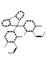 C/C=C\c1c(C)ccc2c1Oc1c(ccc(C)c1/C=C\C)C21c2ccccc2-c2ccccc21